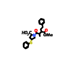 COC(=O)C(CCc1ccccc1)C(C)C(=O)N1CC(Sc2ccccc2)C[C@H]1C(=O)O